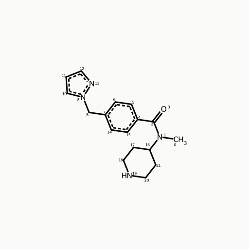 CN(C(=O)c1ccc(Cn2cccn2)cc1)C1CCNCC1